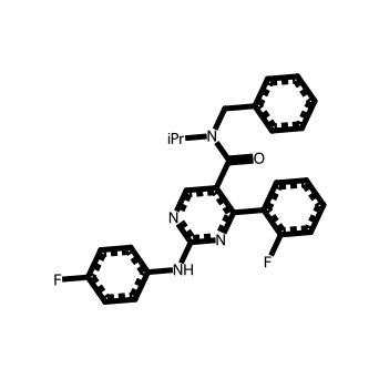 CC(C)N(Cc1ccccc1)C(=O)c1cnc(Nc2ccc(F)cc2)nc1-c1ccccc1F